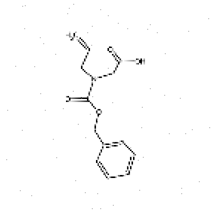 C=CCN(CC(=O)O)C(=O)OCc1ccccc1